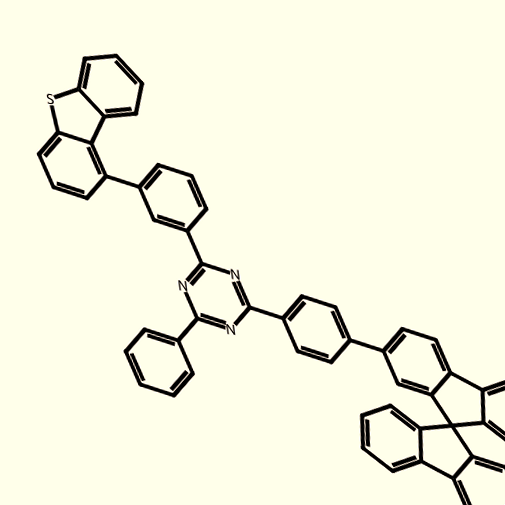 c1ccc(-c2nc(-c3ccc(-c4ccc5c(c4)C4(c6ccccc6-c6ccccc64)c4ccccc4-5)cc3)nc(-c3cccc(-c4cccc5sc6ccccc6c45)c3)n2)cc1